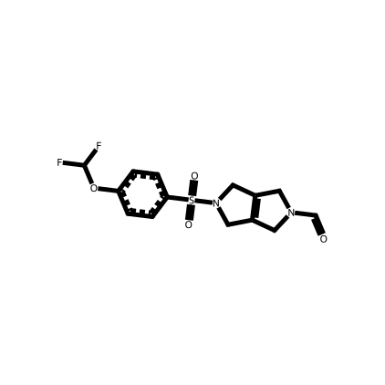 O=CN1CC2=C(C1)CN(S(=O)(=O)c1ccc(OC(F)F)cc1)C2